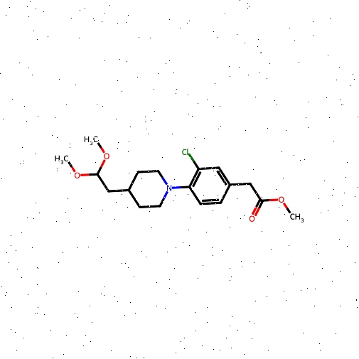 COC(=O)Cc1ccc(N2CCC(CC(OC)OC)CC2)c(Cl)c1